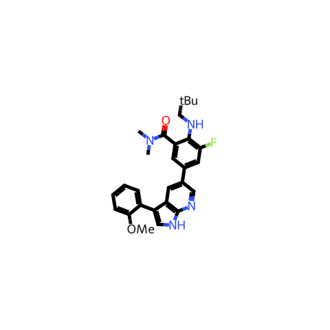 COc1ccccc1-c1c[nH]c2ncc(-c3cc(F)c(NCC(C)(C)C)c(C(=O)N(C)C)c3)cc12